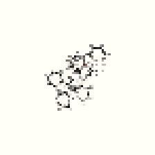 CC[Si](O[Si](O[Si](CC)(c1ccccc1)c1ccccc1)(c1ccccc1)c1ccccc1)(c1ccccc1)c1ccccc1